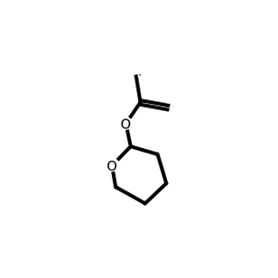 [CH2]C(=C)OC1CCCCO1